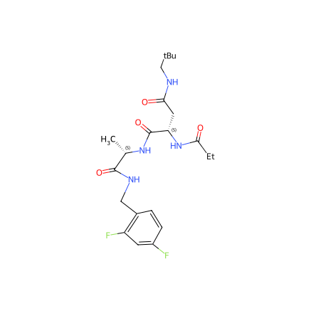 CCC(=O)N[C@@H](CC(=O)NCC(C)(C)C)C(=O)N[C@@H](C)C(=O)NCc1ccc(F)cc1F